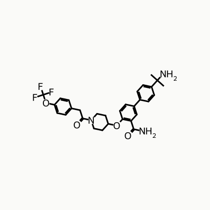 CC(C)(N)c1ccc(-c2ccc(OC3CCN(C(=O)Cc4ccc(OC(F)(F)F)cc4)CC3)c(C(N)=O)c2)cc1